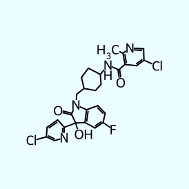 Cc1ncc(Cl)cc1C(=O)NC1CCC(CN2C(=O)C(O)(c3ccc(Cl)cn3)c3cc(F)ccc32)CC1